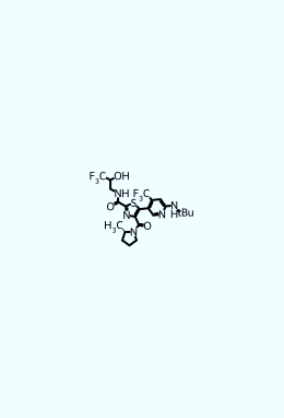 C[C@H]1CCCN1C(=O)c1nc(C(=O)NCC(O)C(F)(F)F)sc1-c1cnc(NC(C)(C)C)cc1C(F)(F)F